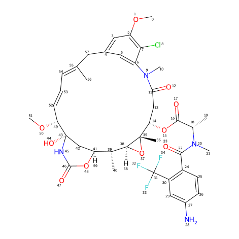 COc1cc2cc(c1Cl)N(C)C(=O)C[C@H](OC(=O)[C@H](C)N(C)C(=O)c1ccc(N)cc1C(F)(F)F)[C@]1(C)O[C@H]1[C@H](C)[C@@H]1C[C@@](O)(NC(=O)O1)[C@H](OC)/C=C/C=C(\C)C2